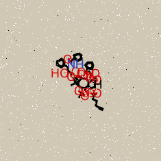 C#CCCCC(=O)O[C@H]1C[C@H]2OC[C@@]2(OC(C)=O)C2[C@H](OC(=O)c3ccccc3)[C@]3(O)C[C@H](OC(=O)[C@H](O)[C@@H](NC(=O)c4ccccc4)c4ccccc4)C(C)=C([C@@H](OC(C)=O)C(=O)[C@@]21C)C3(C)C